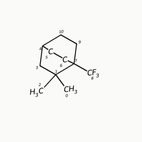 CC1(C)CC2CCC1(C(F)(F)F)CC2